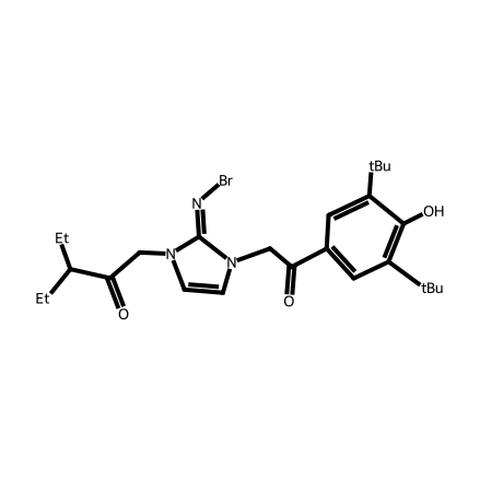 CCC(CC)C(=O)Cn1ccn(CC(=O)c2cc(C(C)(C)C)c(O)c(C(C)(C)C)c2)/c1=N\Br